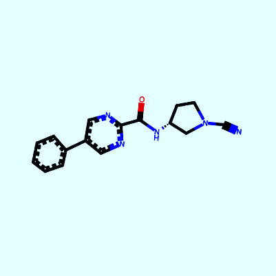 N#CN1CC[C@@H](NC(=O)c2ncc(-c3ccccc3)cn2)C1